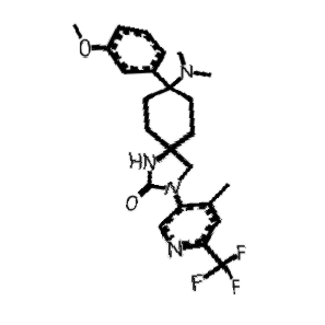 COc1cccc(C2(N(C)C)CCC3(CC2)CN(c2cnc(C(F)(F)F)cc2C)C(=O)N3)c1